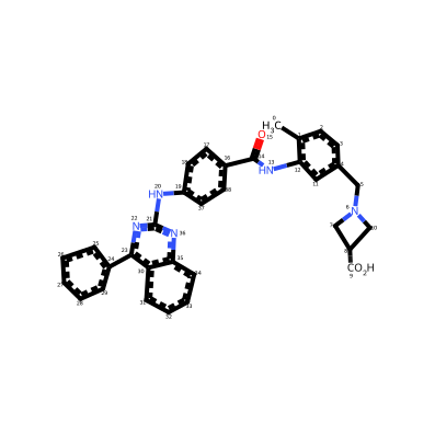 Cc1ccc(CN2CC(C(=O)O)C2)cc1NC(=O)c1ccc(Nc2nc(-c3ccccc3)c3ccccc3n2)cc1